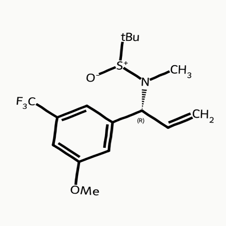 C=C[C@H](c1cc(OC)cc(C(F)(F)F)c1)N(C)[S+]([O-])C(C)(C)C